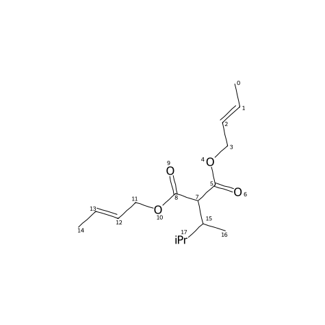 C/C=C/COC(=O)C(C(=O)OC/C=C/C)C(C)C(C)C